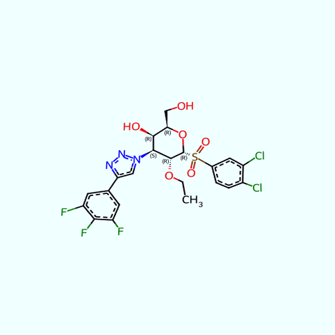 CCO[C@@H]1[C@@H](n2cc(-c3cc(F)c(F)c(F)c3)nn2)[C@@H](O)[C@@H](CO)O[C@@H]1S(=O)(=O)c1ccc(Cl)c(Cl)c1